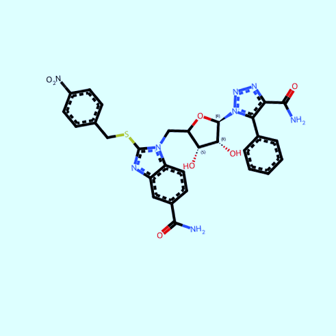 NC(=O)c1ccc2c(c1)nc(SCc1ccc([N+](=O)[O-])cc1)n2CC1O[C@@H](n2nnc(C(N)=O)c2-c2ccccc2)[C@H](O)[C@@H]1O